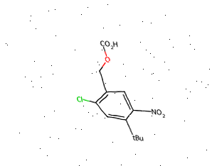 CC(C)(C)c1cc(Cl)c(COC(=O)O)cc1[N+](=O)[O-]